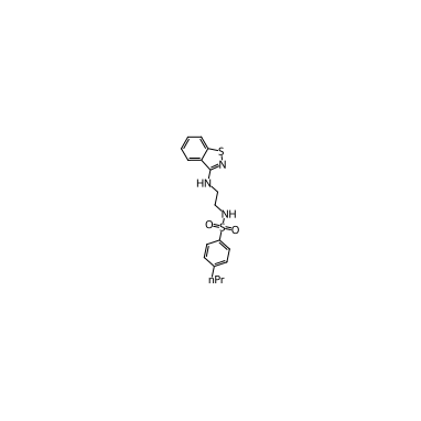 CCCc1ccc(S(=O)(=O)NCCNc2nsc3ccccc23)cc1